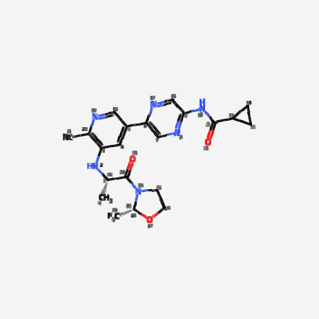 C[C@H](Nc1cc(-c2cnc(NC(=O)C3CC3)cn2)cnc1C#N)C(=O)N1CCO[C@@H]1C(F)(F)F